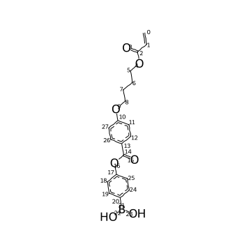 C=CC(=O)OCCCCOc1ccc(C(=O)Oc2ccc(B(O)O)cc2)cc1